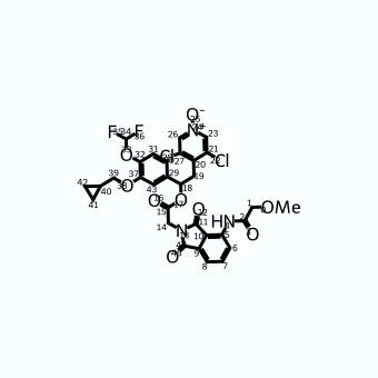 COCC(=O)Nc1cccc2c1C(=O)N(CC(=O)OC(Cc1c(Cl)c[n+]([O-])cc1Cl)c1ccc(OC(F)F)c(OCC3CC3)c1)C2=O